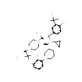 CC(C)(Oc1cccc(N2CCC[C@@H](C(=O)N(Cc3ccc(Br)c(C(F)(F)F)c3)C3CC3)C2)c1)C(=O)N1CCN(C(=O)O)CC1